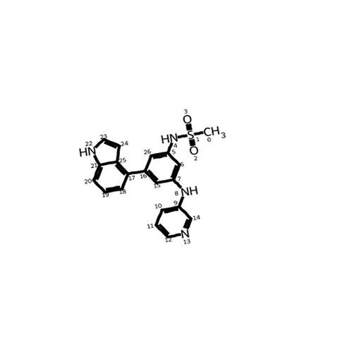 CS(=O)(=O)Nc1cc(Nc2cccnc2)cc(-c2cccc3[nH]ccc23)c1